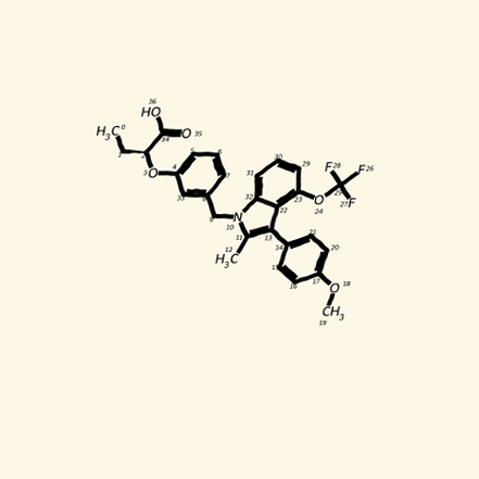 CC[C@H](Oc1cccc(Cn2c(C)c(-c3ccc(OC)cc3)c3c(OC(F)(F)F)cccc32)c1)C(=O)O